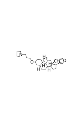 C[C@]12CC[C@H](OCCCN3CCCC3)C[C@@H]1CC[C@@H]1[C@@H]2CC[C@]2(C)[C@@H](c3ccoc3)CC[C@@H]12